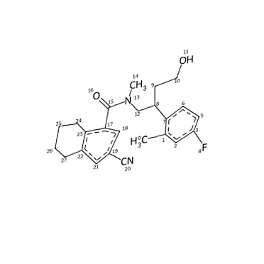 Cc1cc(F)ccc1C(CCO)CN(C)C(=O)c1cc(C#N)cc2c1CCCC2